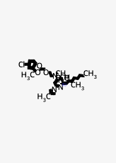 C=C(/C=C1/N=C(N2CC(C)C2)C=C(N(C)CCOCCOc2ccc(Cl)cc2C(C)=O)N1C)C(C)CCCCC